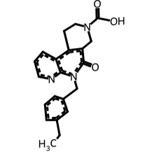 CCc1cccc(Cn2c(=O)c3c(c4cccnc42)CCN(C(=O)O)C3)c1